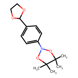 CC1(C)ON(c2ccc(C3OCCO3)cc2)OC1(C)C